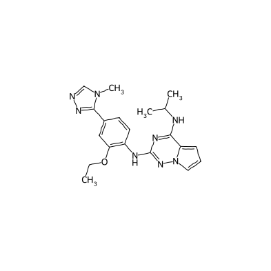 CCOc1cc(-c2nncn2C)ccc1Nc1nc(NC(C)C)c2cccn2n1